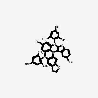 Cc1cc(C(C)(C)C)cc(C)c1N1c2cc3c(cc2B2c4c1cc(C(C)C)cc4N(c1c(C)cc(C(C)(C)C)cc1C)c1sc4ccc(C(C)(C)C)cc4c12)OCO3